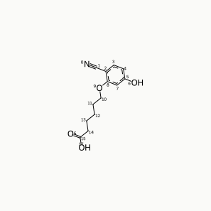 N#Cc1ccc(O)cc1OCCCCCC(=O)O